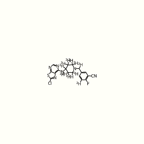 [2H]c1cc(C([2H])N2C([2H])([2H])C([2H])([2H])C([2H])(N([2H])c3ncnc4sc(Cl)nc34)C([2H])([2H])C2([2H])[2H])cc(C#N)c1F